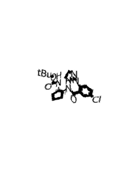 CC(C)(C)OC(=O)N[C@H]1CCC[C@@H]1NC(=O)c1cc(Cl)ccc1-n1nccn1